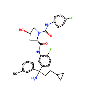 N#Cc1cccc(C(N)(CCC2CC2)c2ccc(F)c(NC(=O)[C@H]3C[C@@H](O)CN3C(=O)Nc3ccc(F)cc3)c2)c1